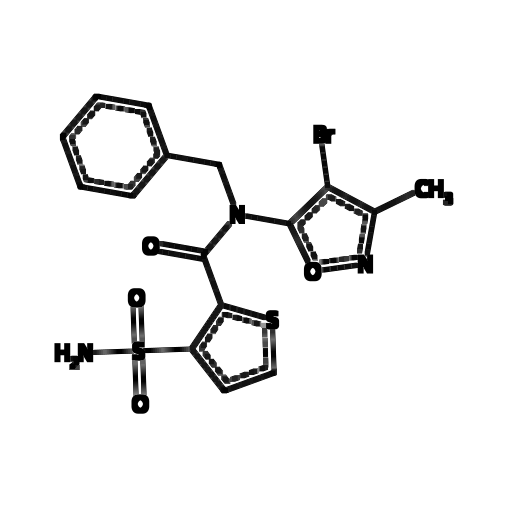 Cc1noc(N(Cc2ccccc2)C(=O)c2sccc2S(N)(=O)=O)c1Br